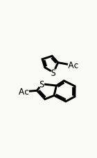 CC(=O)c1cc2ccccc2s1.CC(=O)c1cccs1